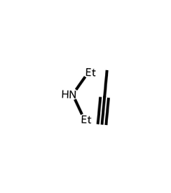 C#CC.CCNCC